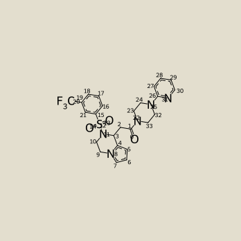 O=C(CC1c2cccn2CCN1S(=O)(=O)c1cccc(C(F)(F)F)c1)N1CCN(c2ccccn2)CC1